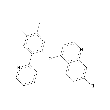 Cc1cc(Oc2ccnc3cc(Cl)ccc23)c(-c2ccccn2)nc1C